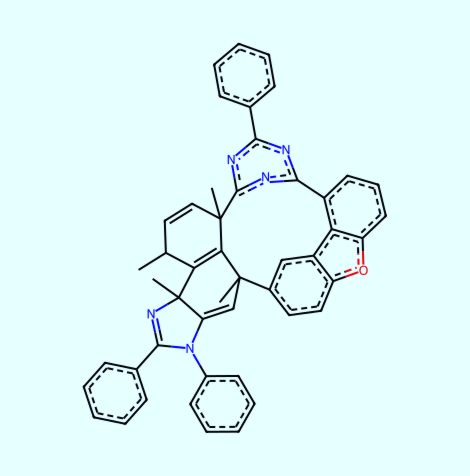 CC1C=CC2(C)C3=C1C1(C)N=C(c4ccccc4)N(c4ccccc4)C1=CC3(C)c1ccc3oc4cccc(c4c3c1)-c1nc(-c3ccccc3)nc2n1